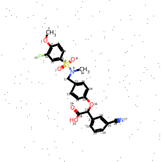 COc1ccc(S(=O)(=O)N(C)Cc2ccc(OC(C(=O)O)c3cccc(C#N)c3)cc2)cc1F